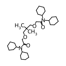 CC(C)(COCC(=O)N(C1CCCCC1)C1CCCCC1)COCC(=O)N(C1CCCCC1)C1CCCCC1